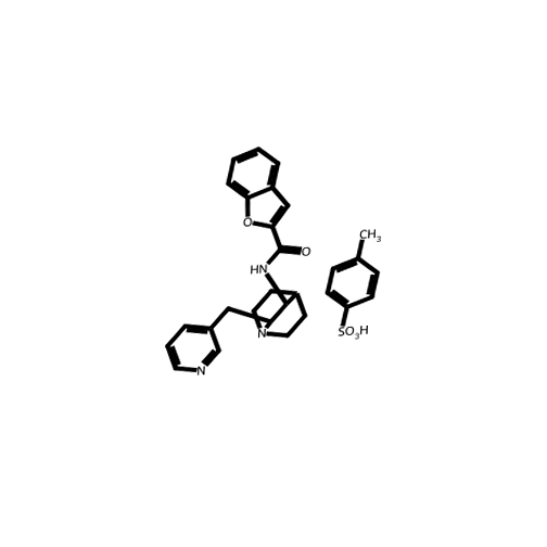 Cc1ccc(S(=O)(=O)O)cc1.O=C(NC1C2CCN(CC2)C1Cc1cccnc1)c1cc2ccccc2o1